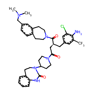 CN(C)Cc1ccc2c(c1)CCN(C(=O)[C@H](CC(=O)N1CCC(N3CCc4ccccc4NC3=O)CC1)Cc1cc(Cl)c(N)c(C(F)(F)F)c1)CC2